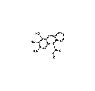 Nc1cc2c(C(=O)C=O)c3ccccc3cc2c(O)c1O